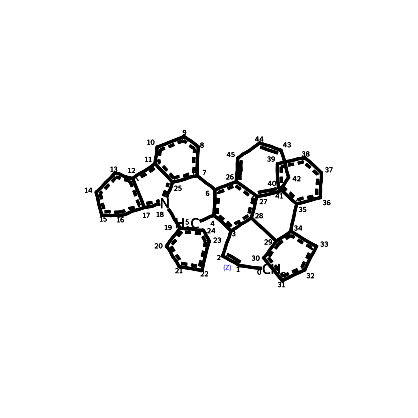 C/C=C\c1c(C)c(-c2cccc3c4ccccc4n(-c4ccccc4)c23)c2c(c1-c1ccccc1-c1ccccc1)=CCC=CC=2